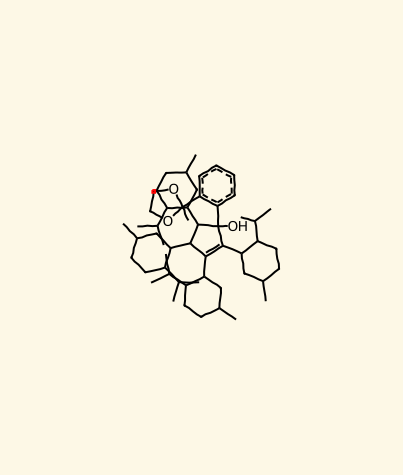 CC1CCC(C(C)C)C(C2=C(C3CC(C)CCC3C(C)C)C(O)(c3ccccc3C3(C)OCCO3)C(C3CC(C)CCC3C(C)C)C2C2CC(C)CCC2C(C)C)C1